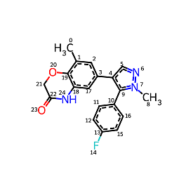 Cc1cc(-c2cnn(C)c2-c2ccc(F)cc2)cc2c1OCC(=O)N2